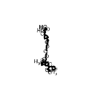 CNC(=O)c1c(-c2ccc(F)cc2)oc2cc(N(CCOCCOCCOCCOCc3ccc(C(=O)C=C(O)C(=O)O)cc3)S(C)(=O)=O)c(C3CC3)cc12